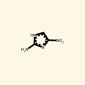 Nc1nc([N+](=O)[O-])c[nH]1